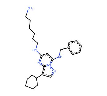 NCCCCCCNc1cc(NCc2ccccc2)n2ncc(C3CCCCC3)c2n1